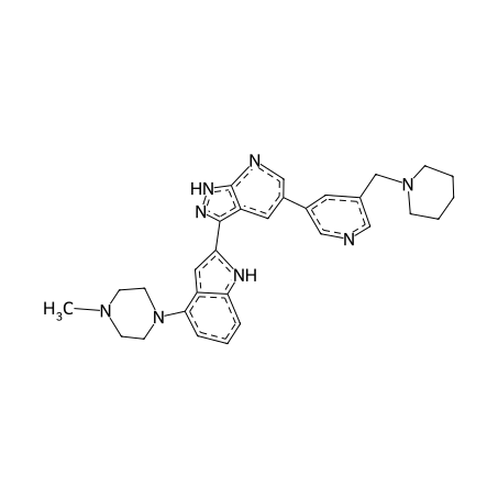 CN1CCN(c2cccc3[nH]c(-c4n[nH]c5ncc(-c6cncc(CN7CCCCC7)c6)cc45)cc23)CC1